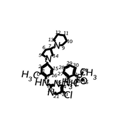 Cc1cc(N2CCC(N3CCCCC3)C2)ccc1Nc1ncc(Cl)c(Nc2ccccc2P(C)(C)=O)n1